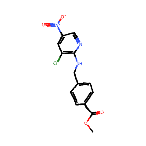 COC(=O)c1ccc(CNc2ncc([N+](=O)[O-])cc2Cl)cc1